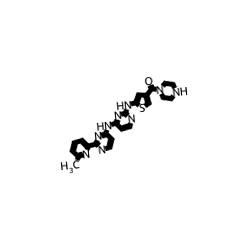 Cc1cccc(-c2nccc(Nc3ccnc(Nc4cc(C(=O)N5CCNCC5)cs4)n3)n2)n1